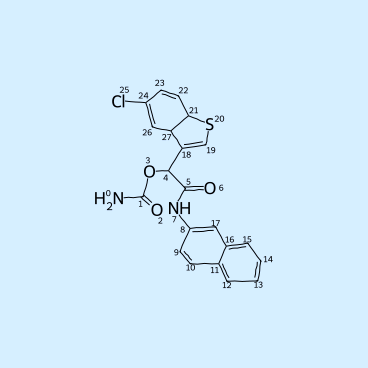 NC(=O)OC(C(=O)Nc1ccc2ccccc2c1)C1=CSC2C=CC(Cl)=CC12